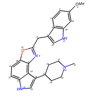 COc1ccc2c(Cc3nc4c(ccc5[nH]cc(C6CCN(C)CC6)c54)o3)c[nH]c2c1